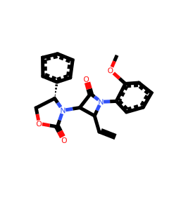 C=CC1C(N2C(=O)OC[C@@H]2c2ccccc2)C(=O)N1c1ccccc1OC